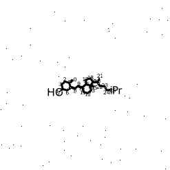 C=C1CC[C@H](O)C/C1=C/C=C1\CCCC2(C)C1CCC2C(C)CCCC(C)C